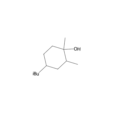 CCC(C)C1CCC(C)(O)C(C)C1